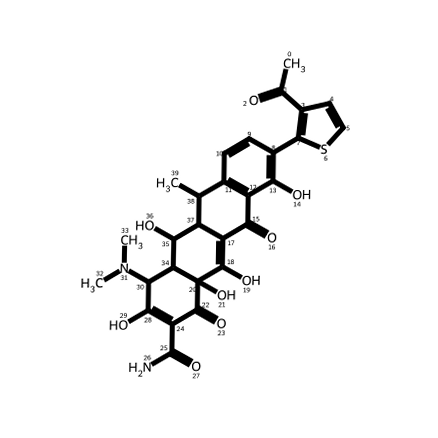 CC(=O)c1ccsc1-c1ccc2c(c1O)C(=O)C1=C(O)C3(O)C(=O)C(C(N)=O)=C(O)C(N(C)C)C3C(O)C1C2C